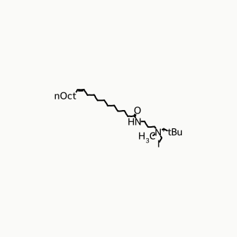 CCCCCCCC/C=C\CCCCCCCCCC(=O)NCCC[N+](C)(CI)CC(C)(C)C